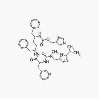 CC(C)c1nc(CN(C)C(=O)NC(Cc2cccnc2)C(=O)NC(CCC(Cc2ccccc2)NC(=O)OCc2cncs2)Cc2ccccc2)cs1